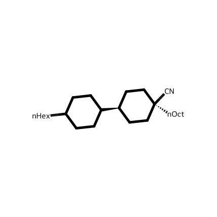 CCCCCCCC[C@]1(C#N)CC[C@@H](C2CCC(CCCCCC)CC2)CC1